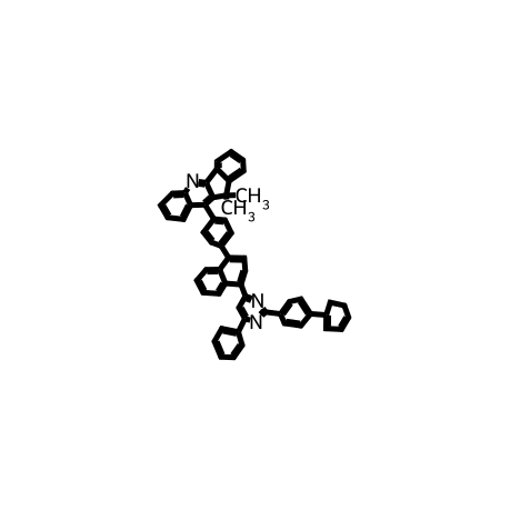 CC1(C)c2ccccc2-c2nc3ccccc3c(-c3ccc(-c4ccc(-c5cc(-c6ccccc6)nc(-c6ccc(C7=CC=CCC7)cc6)n5)c5ccccc45)cc3)c21